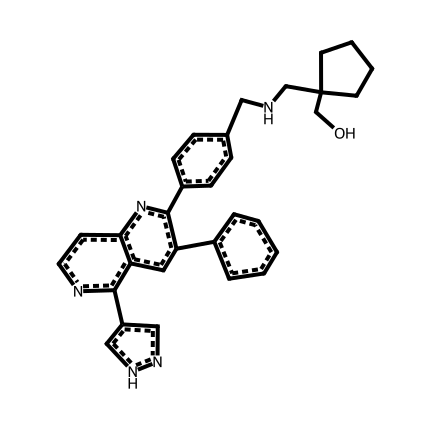 OCC1(CNCc2ccc(-c3nc4ccnc(-c5cn[nH]c5)c4cc3-c3ccccc3)cc2)CCCC1